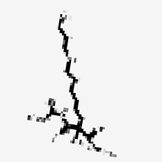 CCCCCCOC(=O)C(C)(CCCCCCNCCCO)C(=O)OC(CC)CCCCC